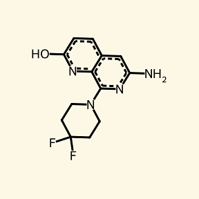 Nc1cc2ccc(O)nc2c(N2CCC(F)(F)CC2)n1